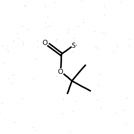 CC(C)(C)OC(=O)[S]